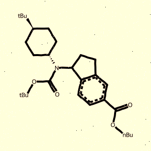 CCCCOC(=O)c1ccc2c(c1)CCC2N(C(=O)OC(C)(C)C)[C@H]1CC[C@H](C(C)(C)C)CC1